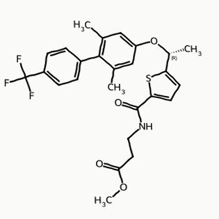 COC(=O)CCNC(=O)c1ccc([C@@H](C)Oc2cc(C)c(-c3ccc(C(F)(F)F)cc3)c(C)c2)s1